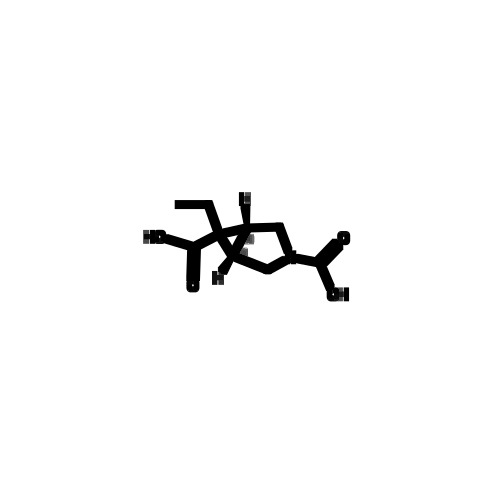 CCC1(C(=O)O)[C@@H]2CN(C(=O)O)C[C@@H]21